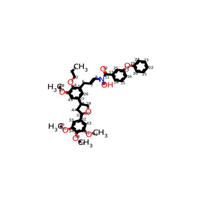 CCCOc1c(CC=CN(O)C(=O)c2cccc(Oc3ccccc3)c2)cc(C2COC(c3cc(OC)c(OC)c(OC)c3)C2)cc1OC